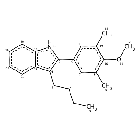 CCCCc1c(-c2cc(C)c(OC)c(C)c2)[nH]c2ccccc12